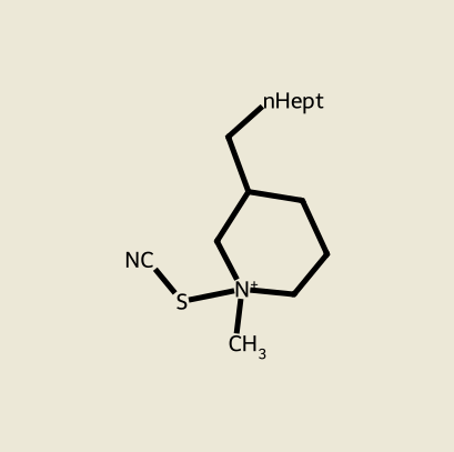 CCCCCCCCC1CCC[N+](C)(SC#N)C1